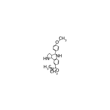 CCOc1ccc(C2Nc3ccc(C(=O)N(C)C)cc3C3NCCC23)cc1